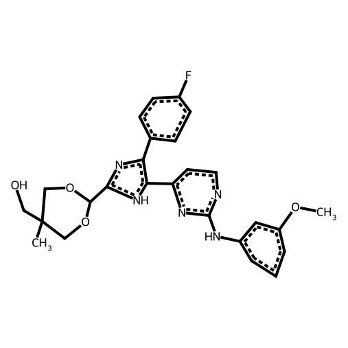 COc1cccc(Nc2nccc(-c3[nH]c(C4OCC(C)(CO)CO4)nc3-c3ccc(F)cc3)n2)c1